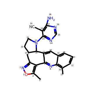 Cc1noc(C)c1-c1nc2c(C)cccc2cc1C1CCCN1c1ncnc(N)c1C#N